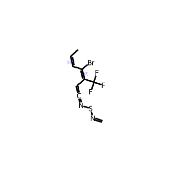 C=NSN=C=C/C(=C(Br)\C=C/C)C(F)(F)F